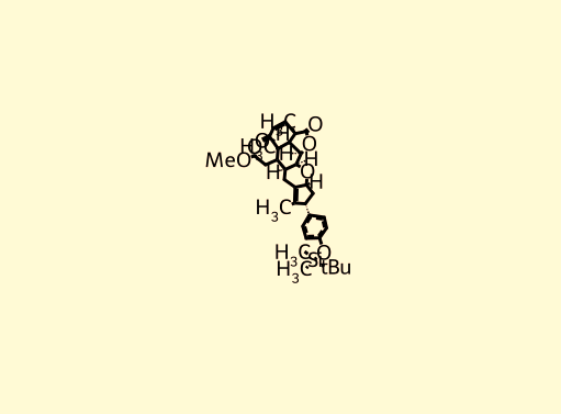 COC(=O)CC1[C@@H]2CC3=C(C)[C@@H](c4ccc(O[Si](C)(C)C(C)(C)C)cc4)C[C@H]3O[C@@H]2[C@@H]2OC(=O)[C@]3(C)C=CC(=O)C1(C)[C@@H]23